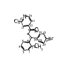 Cc1ccccc1C(CC(=O)c1ccnc(Cl)c1)c1ccc(Br)cc1